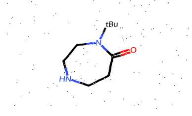 CC(C)(C)N1CCNCCC1=O